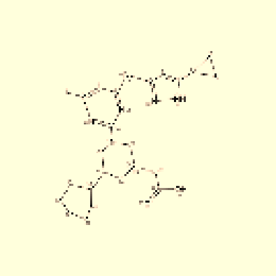 Cc1cc(Nc2cc(C3CC3)[nH]n2)nc(N2CC(C3CCCCC3)C[C@@H](CC(=O)O)C2)n1